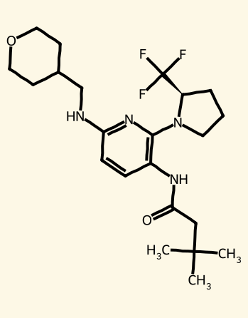 CC(C)(C)CC(=O)Nc1ccc(NCC2CCOCC2)nc1N1CCC[C@@H]1C(F)(F)F